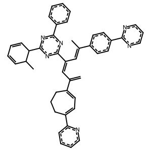 C=C(/C=C(\C=C(/C)c1ccc(-c2ncccn2)cc1)c1nc(-c2ccccc2)nc(C2C=CC=CC2C)n1)C1=CC=C(c2ccccn2)CCC1